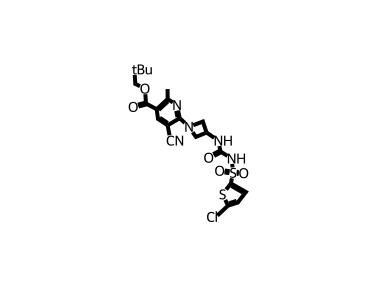 Cc1nc(N2CC(NC(=O)NS(=O)(=O)c3ccc(Cl)s3)C2)c(C#N)cc1C(=O)OCC(C)(C)C